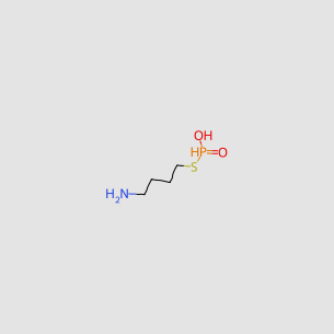 NCCCCS[PH](=O)O